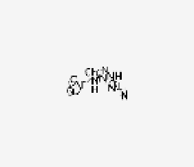 Cc1nn(C2CCN(C)C2)cc1Nc1ncc(Cl)c(NCCCN2CCCOC(C)(C)C2=O)n1